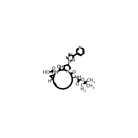 CC(C)(C)OC(=O)N[C@H]1CCCCC/C=C\[C@@H]2C[C@@]2(C(=O)O)NC(=O)[C@@H]2C[C@@H](n3nnc(-c4cccnc4)n3)CN2C1=O